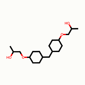 CC(O)COC1CCC(CC2CCC(OCC(C)O)CC2)CC1